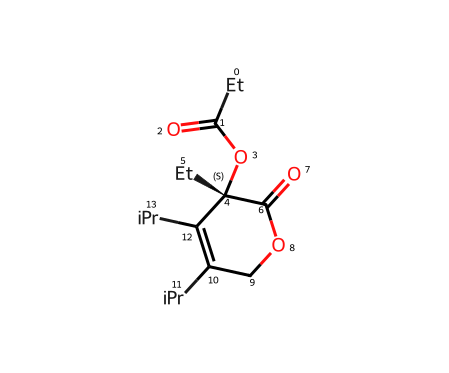 CCC(=O)O[C@]1(CC)C(=O)OCC(C(C)C)=C1C(C)C